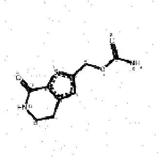 NC(=O)OCc1cc2c(s1)C(=O)NCC2